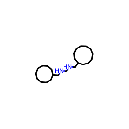 C1CCCCCC(CNCNCC2CCCCCCCCC2)CCCC1